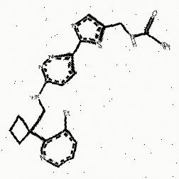 CCc1cccnc1C1(CNc2ccc(-c3ncc(CNC(=O)C(C)C)s3)nn2)CCC1